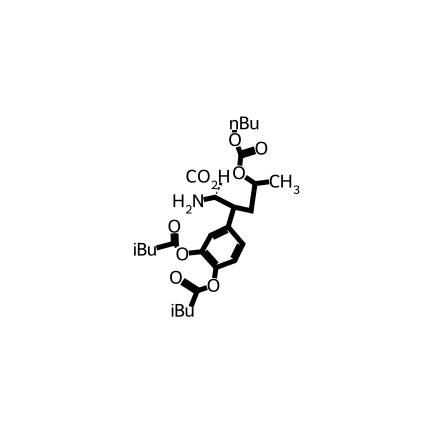 CCCCOC(=O)OC(C)CC(c1ccc(OC(=O)C(C)CC)c(OC(=O)C(C)CC)c1)[C@H](N)C(=O)O